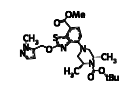 COC(=O)c1ccc(N2C[C@H](C)N(C(=O)OC(C)(C)C)[C@@H](C)C2)c2nc(OCc3ccnn3C)sc12